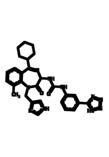 Cc1cccc2c1N(Cc1c[nH]cn1)C(=O)C(NC(=O)Nc1cccc(-c3nnn[nH]3)c1)N=C2C1CCCCC1